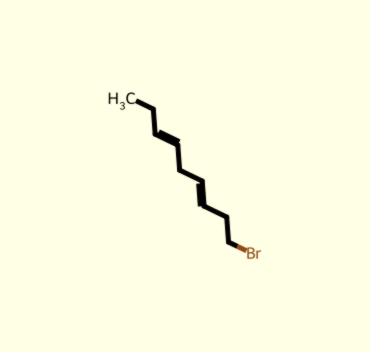 CCC=CCC=CCCBr